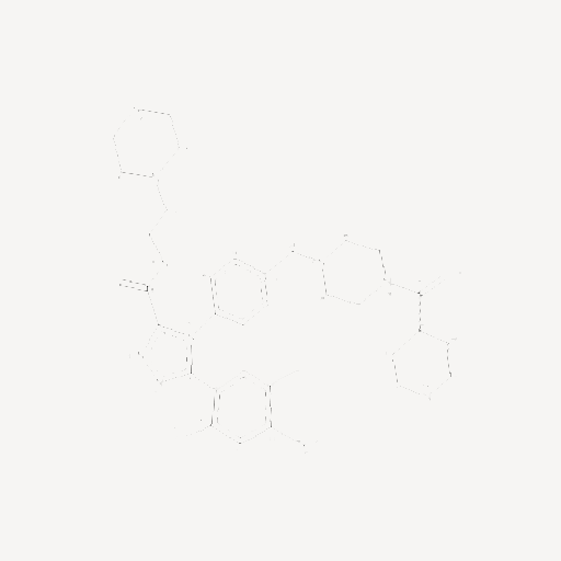 CC(C)c1cc(-c2nnc(C(=O)NCCN3CCNCC3)n2-c2ccc(CN3CCN(C(=O)C4CCNCC4)CC3)cc2)c(O)cc1N=O